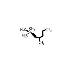 [CH2]C(C#C[Si](C)(C)C)CCC